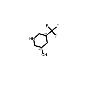 O[C@H]1CNC[C@@H](C(F)(F)F)C1